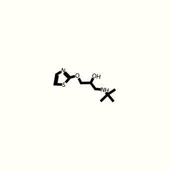 CC(C)(C)NCC(O)COc1nccs1